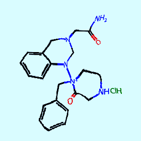 Cl.NC(=O)CN1Cc2ccccc2N([N+]2(Cc3ccccc3)CCNCC2=O)C1